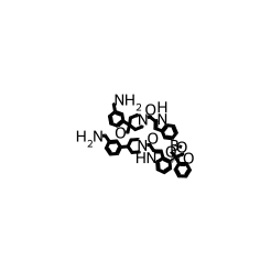 NCc1cccc(C2CCN(C(=O)c3cc4c([C@@]5(c6ccccc6)OB(c6ccc7[nH]c(C(=O)N8CCC9(CC8)COc8ccc(CN)cc89)cc7c6)OC5=O)cccc4[nH]3)CC2)c1